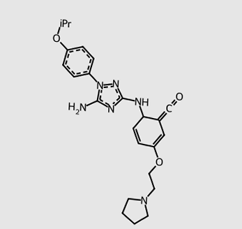 CC(C)Oc1ccc(-n2nc(NC3C=CC(OCCN4CCCC4)=CC3=C=O)nc2N)cc1